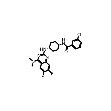 CN(C)c1nc(N[C@H]2CC[C@@H](NC(=O)c3cccc(Cl)c3)CC2)nc2cc(F)c(F)cc12